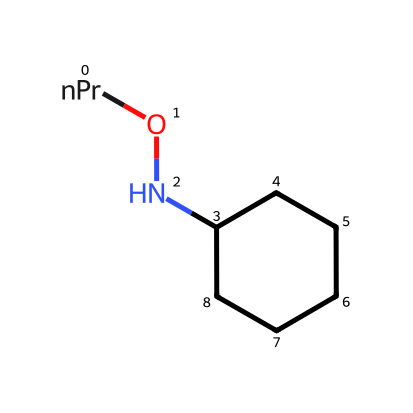 CCCONC1CCCCC1